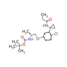 CCC(=O)NC1(c2cc(OC[C@H](C)NC(=O)OC(C)(C)C)ccc2Cl)CC1